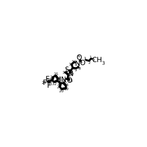 CCCCOC(=O)N1CCC(c2nc(C(=O)Nc3ccccc3-c3cccc(C(F)(F)F)c3)cs2)CC1